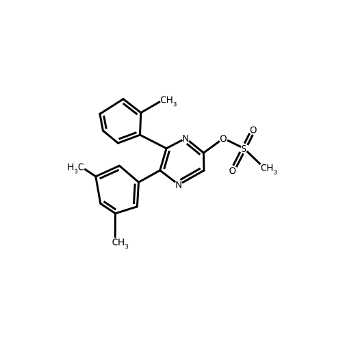 Cc1cc(C)cc(-c2ncc(OS(C)(=O)=O)nc2-c2ccccc2C)c1